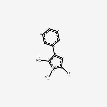 CCCn1c(CC)cc(-c2ccccc2)c1C#N